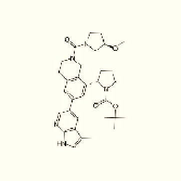 CO[C@@H]1CCN(C(=O)N2CCc3cc(-c4cnc5[nH]cc(C)c5c4)cc([C@@H]4CCCN4C(=O)OC(C)(C)C)c3C2)C1